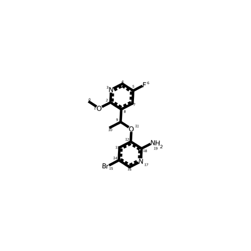 COc1ncc(F)cc1C(C)Oc1cc(Br)cnc1N